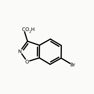 O=C(O)c1noc2cc(Br)ccc12